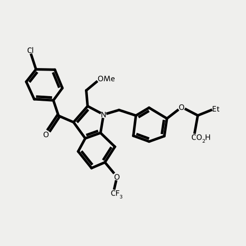 CCC(Oc1cccc(Cn2c(COC)c(C(=O)c3ccc(Cl)cc3)c3ccc(OC(F)(F)F)cc32)c1)C(=O)O